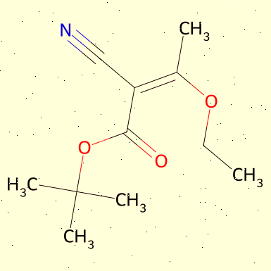 CCOC(C)=C(C#N)C(=O)OC(C)(C)C